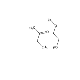 CCC(C)=O.CCOCCO